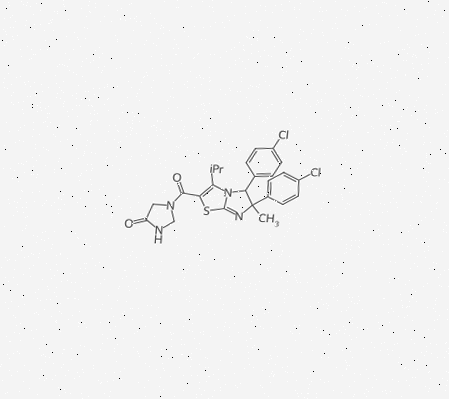 CC(C)C1=C(C(=O)N2CNC(=O)C2)SC2=NC(C)(c3ccc(Cl)cc3)C(c3ccc(Cl)cc3)N21